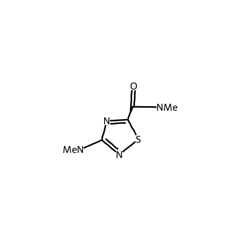 CNC(=O)c1nc(NC)ns1